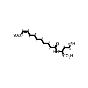 CCCCCCCC/C=C\CCCCCCCC(=O)NC(CCS)C(=O)O